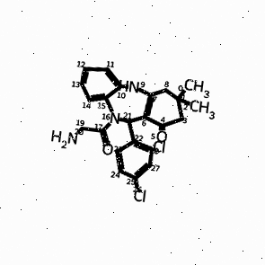 CC1(C)CC(=O)C2=C(C1)Nc1ccccc1N(C(=O)CN)C2c1ccc(Cl)cc1Cl